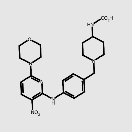 O=C(O)NC1CCN(Cc2ccc(Nc3nc(N4CCOCC4)ccc3[N+](=O)[O-])cc2)CC1